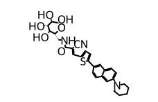 N#C/C(=C\c1ccc(-c2ccc3cc(N4CCCCC4)ccc3c2)s1)C(=O)NC[C@H]1OC(O)[C@H](O)[C@@H](O)[C@@H]1O